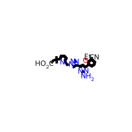 CCOc1c(C#N)cccc1-c1cc(-c2cn(Cc3cccc(C(C)(C)CC(=O)O)n3)nn2)nc(N)n1